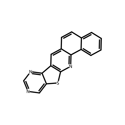 c1ccc2c(c1)ccc1cc3c(nc12)sc1cncnc13